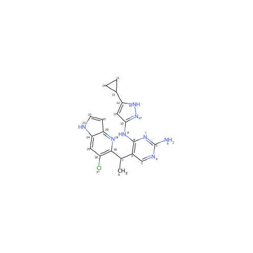 CC(c1cnc(N)nc1Nc1cc(C2CC2)[nH]n1)c1nc2cc[nH]c2cc1Cl